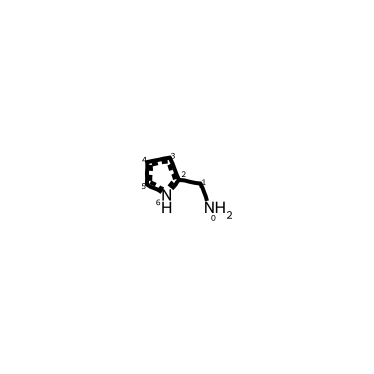 N[CH]c1ccc[nH]1